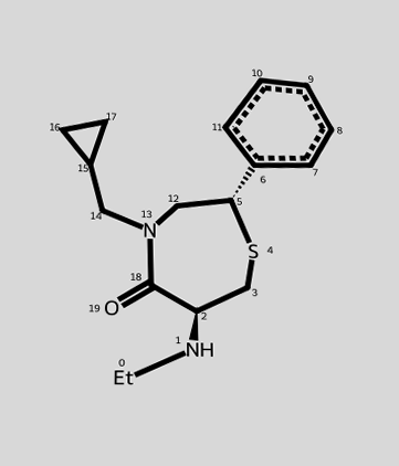 CCN[C@@H]1CS[C@@H](c2ccccc2)CN(CC2CC2)C1=O